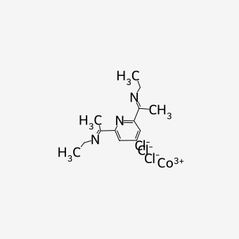 CCN=C(C)c1cccc(C(C)=NCC)n1.[Cl-].[Cl-].[Cl-].[Co+3]